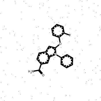 NC(=O)c1ccc2cc(Oc3ccccc3F)n(-c3ccccc3)c2c1